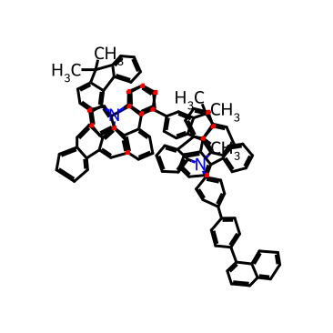 CC1(c2ccccc2-c2ccccc2)CC=CC=C1c1ccccc1N(c1ccc(-c2ccc(-c3cccc4ccccc34)cc2)cc1)c1cccc2c1-c1ccc(-c3cccc(-c4ccccc4-c4ccccc4-c4ccccc4N(c4cccc5c4-c4ccccc4C5(C)C)c4cccc5c4ccc4ccccc45)c3)cc1C2(C)C